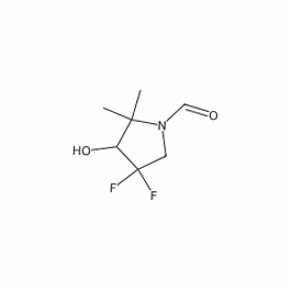 CC1(C)C(O)C(F)(F)CN1C=O